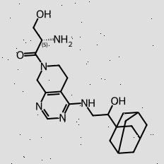 N[C@@H](CO)C(=O)N1CCc2c(ncnc2NCC(O)C23CC4CC(CC(C4)C2)C3)C1